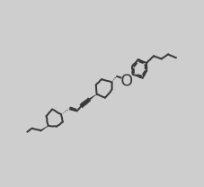 CCCCc1ccc(OC[C@H]2CC[C@H](C#CC=C[C@H]3CC[C@H](CCC)CC3)CC2)cc1